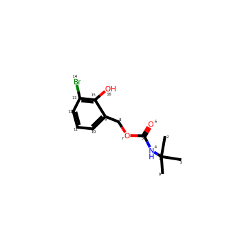 CC(C)(C)NC(=O)OCc1cccc(Br)c1O